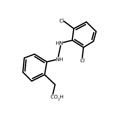 O=C(O)Cc1ccccc1NNc1c(Cl)cccc1Cl